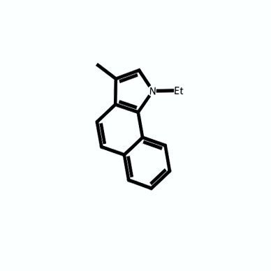 CCn1cc(C)c2ccc3ccccc3c21